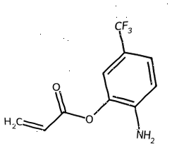 C=CC(=O)Oc1cc(C(F)(F)F)ccc1N